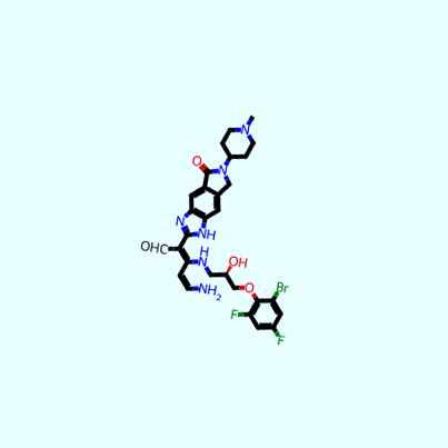 CN1CCC(N2Cc3cc4[nH]c(/C(C=O)=C(/C=C\N)NC[C@@H](O)COc5c(F)cc(F)cc5Br)nc4cc3C2=O)CC1